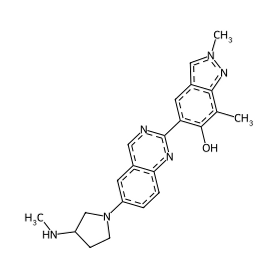 CNC1CCN(c2ccc3nc(-c4cc5cn(C)nc5c(C)c4O)ncc3c2)C1